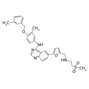 Cc1cccc(COc2ccc(Nc3ncnc4ccc(-c5ccc(CNCCS(C)(=O)=O)o5)cc34)cc2C)c1